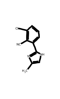 Cc1c[nH]c(-c2cccc(Cl)c2C#N)n1